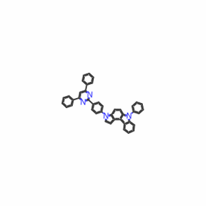 c1ccc(-c2cc(-c3ccccc3)nc(-c3ccc(-n4ccc5c6c7ccccc7n(-c7ccccc7)c6ccc54)cc3)n2)cc1